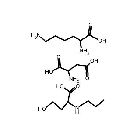 CCCNC(CCO)C(=O)O.NC(CC(=O)O)C(=O)O.NCCCCC(N)C(=O)O